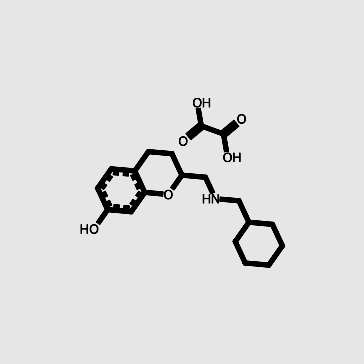 O=C(O)C(=O)O.Oc1ccc2c(c1)OC(CNCC1CCCCC1)CC2